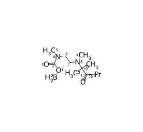 BOC(=O)N(C)CCN(C)C(C)(C)C(=O)C(C)C